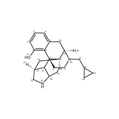 Oc1cccc2c1[C@]13CCN(CC4CC4)[C@H](C2)[C@]12CCC1NC[C@@H](C2)C13